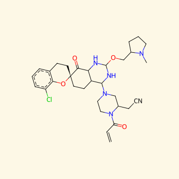 C=CC(=O)N1CCN(C2NC(OCC3CCCN3C)NC3C(=O)[C@]4(CCc5cccc(Cl)c5O4)CCC32)CC1CC#N